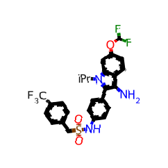 CC(C)n1c(-c2ccc(NS(=O)(=O)Cc3ccc(C(F)(F)F)cc3)cc2)c(N)c2ccc(OC(F)F)cc21